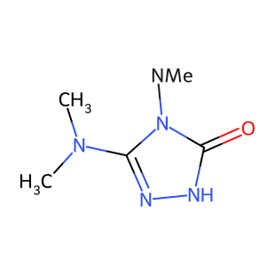 CNn1c(N(C)C)n[nH]c1=O